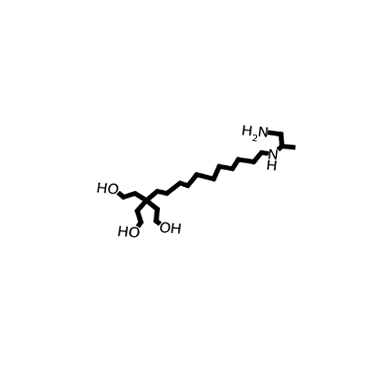 CC(CN)NCCCCCCCCCCCC(CCO)(CCO)CCO